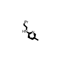 Cc1ccc(NCCC(C)C)nc1